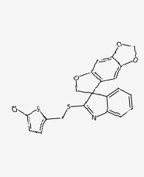 Clc1ccc(CSC2=Nc3ccccc3C23COc2cc4c(cc23)OCO4)s1